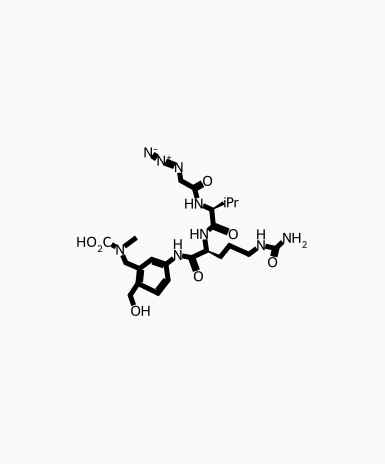 CC(C)[C@H](NC(=O)CN=[N+]=[N-])C(=O)N[C@@H](CCCNC(N)=O)C(=O)Nc1ccc(CO)c(CN(C)C(=O)O)c1